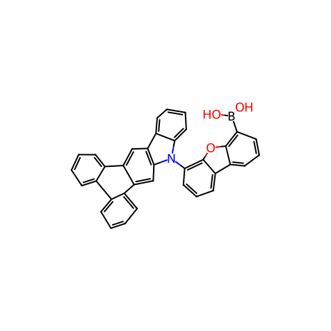 OB(O)c1cccc2c1oc1c(-n3c4ccccc4c4cc5c6ccccc6c6ccccc6c5cc43)cccc12